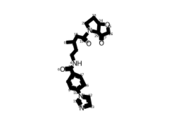 CC(CCNC(=O)c1ccc(-n2ccnc2)cc1)CC(=O)N1CCC2OCC(=O)C21